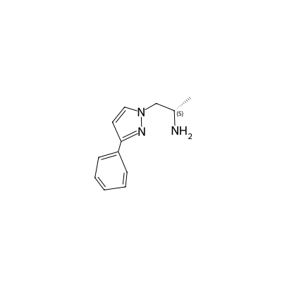 C[C@H](N)Cn1ccc(-c2ccccc2)n1